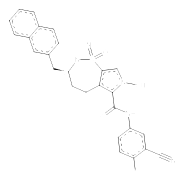 Cn1cc2c(c1C(=O)Nc1ccc(F)c(C#N)c1)CC[C@@H](Cc1ccc3ccccc3c1)NS2(=N)=O